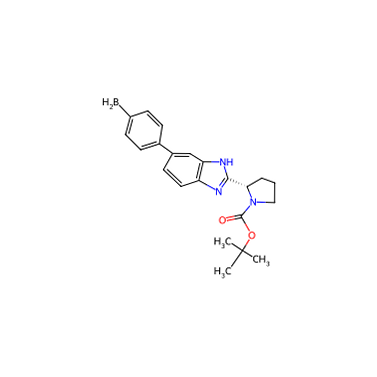 Bc1ccc(-c2ccc3nc([C@@H]4CCCN4C(=O)OC(C)(C)C)[nH]c3c2)cc1